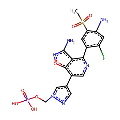 CS(=O)(=O)c1cc(-c2ncc(-c3cnn(COP(=O)(O)O)c3)c3onc(N)c23)c(F)cc1N